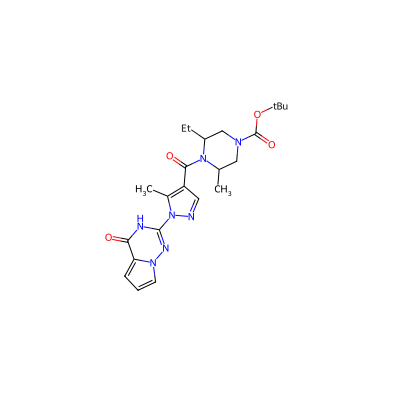 CCC1CN(C(=O)OC(C)(C)C)CC(C)N1C(=O)c1cnn(-c2nn3cccc3c(=O)[nH]2)c1C